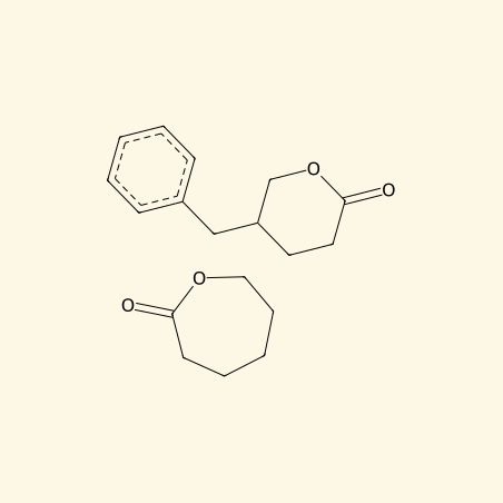 O=C1CCC(Cc2ccccc2)CO1.O=C1CCCCCO1